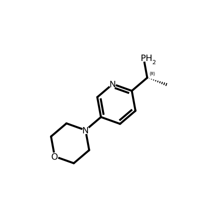 C[C@@H](P)c1ccc(N2CCOCC2)cn1